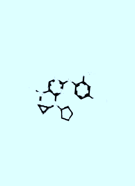 COc1cc(C(=O)O)ccc1Nc1ncc(N(C)C(C)=O)c(N(C2CCCC2)C2CC2)n1